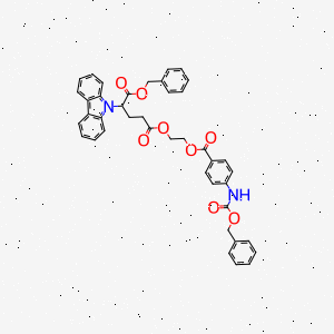 O=C(CCC(C(=O)OCc1ccccc1)n1c2ccccc2c2ccccc21)OCCOC(=O)c1ccc(NC(=O)OCc2ccccc2)cc1